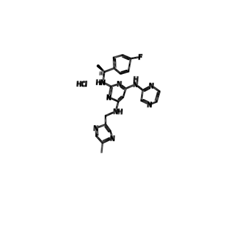 Cc1cnc(CNc2cc(Nc3cnccn3)nc(N[C@@H](C)c3ccc(F)cc3)n2)cn1.Cl